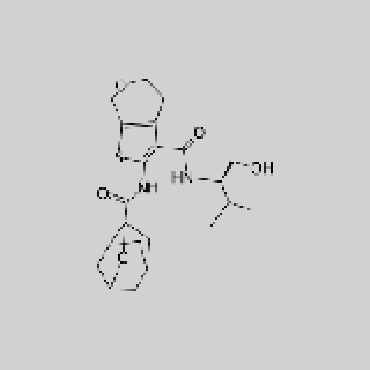 CC(C)[C@H](CO)NC(=O)c1c(NC(=O)C23CC4CC(CC2C4)C3)sc2c1CCOC2